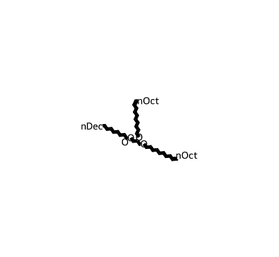 CCCCCCCC/C=C\CCCCCCCCOCC(COC(=O)CCCCCCCCCCCCCCCCC)OCCCCCCCC/C=C\CCCCCCCC